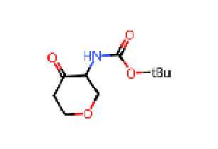 CC(C)(C)OC(=O)NC1COCCC1=O